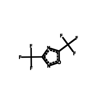 FC(F)(F)c1noc(C(F)(F)F)n1